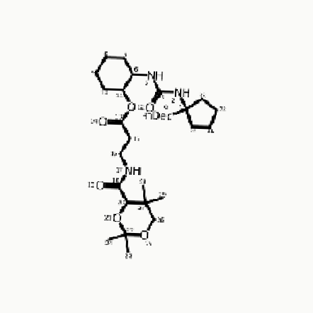 CCCCCCCCCCC1(NC(=O)NC2CCCCC2OC(=O)CCNC(=O)C2OC(C)(C)OCC2(C)C)CCCC1